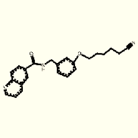 N#CCCCCCOc1cccc(CNC(=O)c2ccc3ncccc3c2)c1